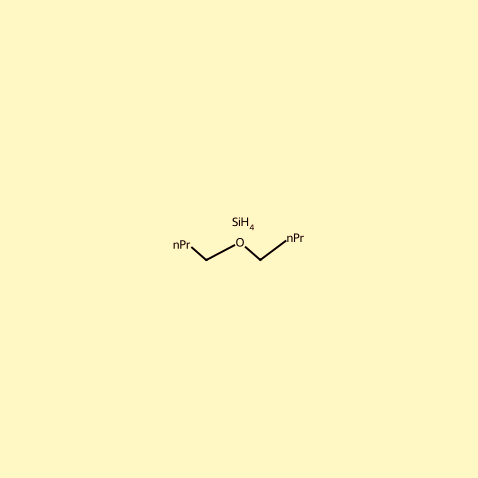 CCCCOCCCC.[SiH4]